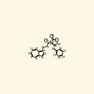 O=C(CCc1ccc2cccccc1-2)N1C(=O)OC[C@@H]1Cc1ccccc1